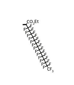 C=C(C(=O)OCC)C(F)(F)C(F)(F)C(F)(F)C(F)(F)C(F)(F)C(F)(F)C(F)(F)C(F)(F)C(F)(F)C(F)(F)C(F)(F)C(F)(F)C(F)(F)C(F)(F)F